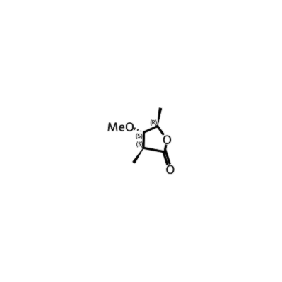 CO[C@H]1[C@H](C)C(=O)O[C@@H]1C